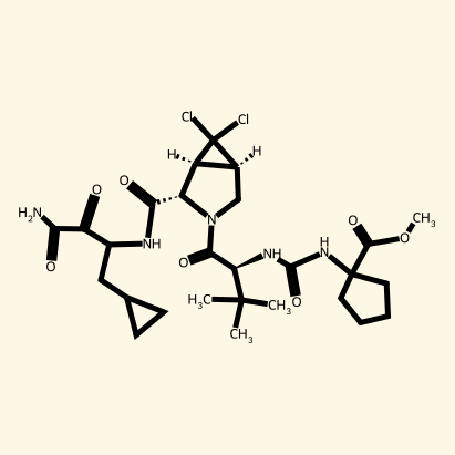 COC(=O)C1(NC(=O)N[C@H](C(=O)N2C[C@H]3[C@@H]([C@H]2C(=O)NC(CC2CC2)C(=O)C(N)=O)C3(Cl)Cl)C(C)(C)C)CCCC1